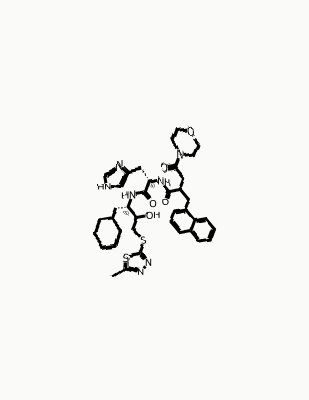 Cc1nnc(SCC(O)[C@H](CC2CCCCC2)NC(=O)[C@H](Cc2c[nH]cn2)NC(=O)C(CC(=O)N2CCOCC2)Cc2cccc3ccccc23)s1